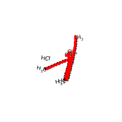 CCCCCCCCCCCCCCCCCC[N](CCCCCCCCCCCCCCCCCC)[Ti]([O]CC(CC)CCCC)[N](CCCCCCCCCCCCCCCCCC)CCCCCCCCCCCCCCCCCC.Cl